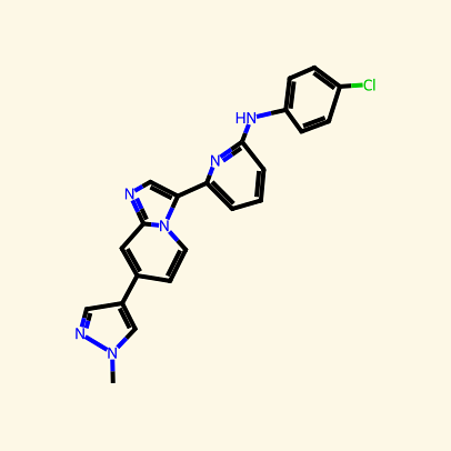 Cn1cc(-c2ccn3c(-c4cccc(Nc5ccc(Cl)cc5)n4)cnc3c2)cn1